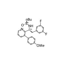 CCCC[S@+]([O-])N[C@@H](Cc1cc(F)cc(F)c1)c1ncccc1-c1ccc(OC)cc1